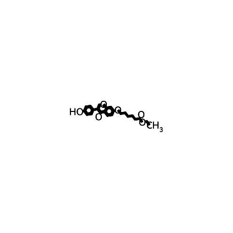 CCOC(=O)CCCCCOc1ccc2c(=O)c(-c3ccc(O)cc3)coc2c1